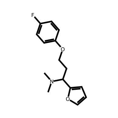 CN(C)C(CCOc1ccc(F)cc1)c1ccco1